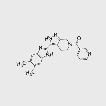 Cc1cc2nc(-c3[nH]nc4c3CCN(C(=O)c3cccnc3)C4)[nH]c2cc1C